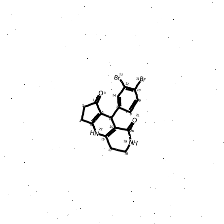 O=C1CCC2=C1C(c1ccc(Br)c(Br)c1)C1=C(CCNC1=O)N2